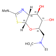 CCN(C[C@H]1O[C@@H]2SC(NC)=N[C@@H]2[C@@H](O)[C@@H]1O)C(=O)O